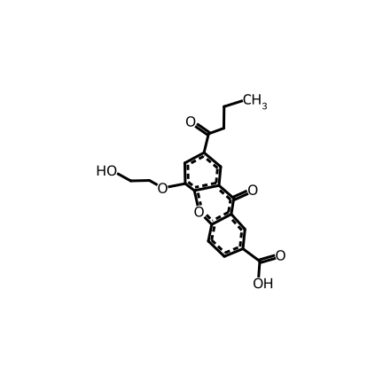 CCCC(=O)c1cc(OCCO)c2oc3ccc(C(=O)O)cc3c(=O)c2c1